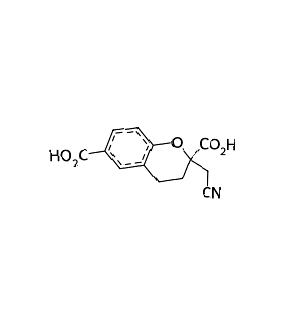 N#CCC1(C(=O)O)CCc2cc(C(=O)O)ccc2O1